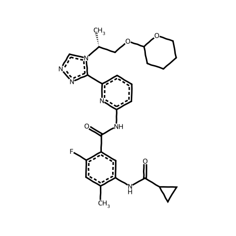 Cc1cc(F)c(C(=O)Nc2cccc(-c3nncn3[C@H](C)COC3CCCCO3)n2)cc1NC(=O)C1CC1